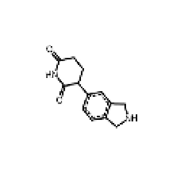 O=C1CCC(c2ccc3c(c2)CNC3)C(=O)N1